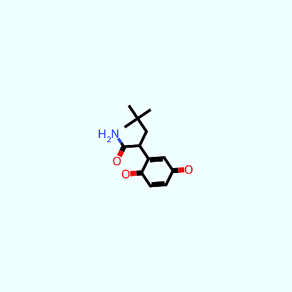 CC(C)(C)CC(C(N)=O)C1=CC(=O)C=CC1=O